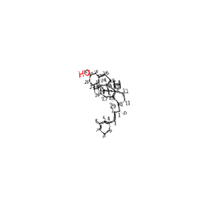 C[C@H](/C=C/c1ccccc1)[C@H]1CC[C@H]2[C@@H]3CC=C4C[C@@H](O)CC[C@]4(C)[C@H]3CC[C@]12C